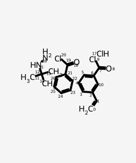 C=Cc1cccc(C(=O)Cl)c1.CC(C)(C)NN.Cl.O=C(Cl)c1ccccc1